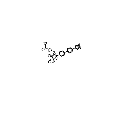 Cn1cc(-c2ccc(-c3ccc(C4=NC5(CCOC5)C(=O)N4CC4CN(C(=O)C5CC5)C4)cc3)cc2)cn1